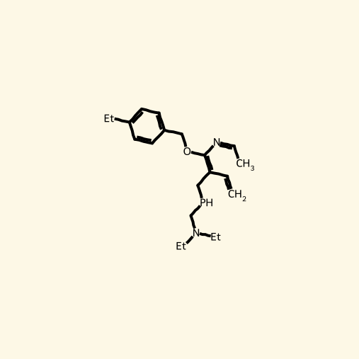 C=C/C(CPCN(CC)CC)=C(\N=C/C)OCc1ccc(CC)cc1